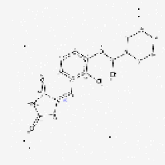 CCC(Oc1cccc(/C=C2/SC(=O)NC2=O)c1Cl)C1CCCCC1